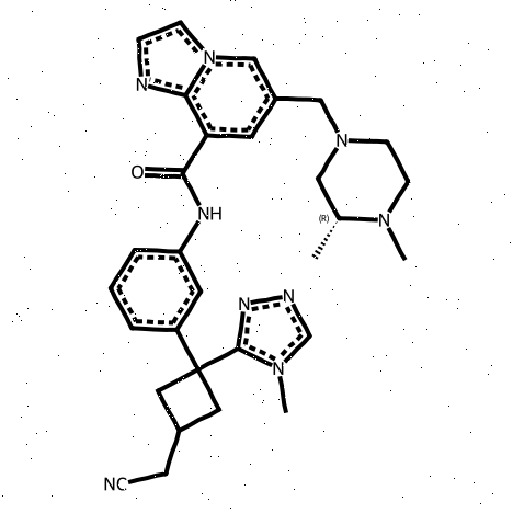 C[C@@H]1CN(Cc2cc(C(=O)Nc3cccc(C4(c5nncn5C)CC(CC#N)C4)c3)c3nccn3c2)CCN1C